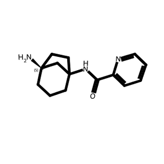 N[C@@]12CCCC(NC(=O)c3ccccn3)(CC1)C2